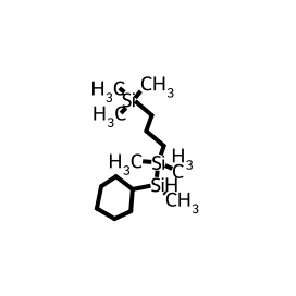 C[SiH](C1CCCCC1)[Si](C)(C)CCC[Si](C)(C)C